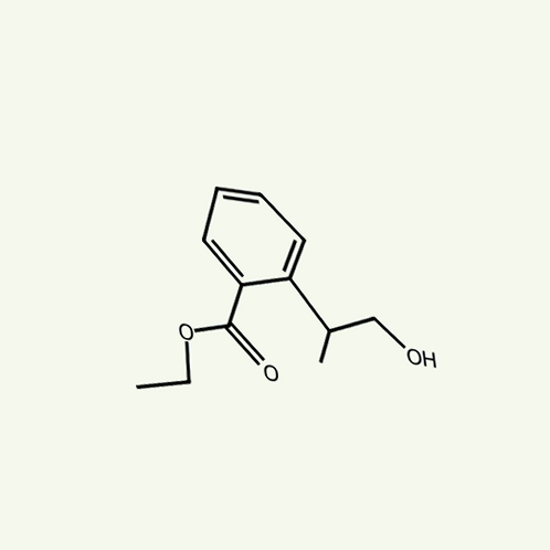 CCOC(=O)c1ccccc1C(C)CO